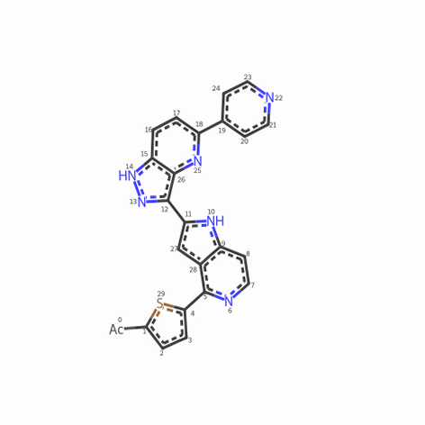 CC(=O)c1ccc(-c2nccc3[nH]c(-c4n[nH]c5ccc(-c6ccncc6)nc45)cc23)s1